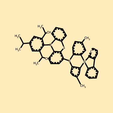 Cc1ccc2c(c1)[Si]1(c3ccccc3-c3ccccc31)c1cc(C)ccc1N2c1cccc2c1Sc1ccccc1B2c1c(C(C)C)cc(C(C)C)cc1C(C)C